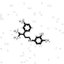 Cc1ccc(NCCC(c2cccc(N)c2)C(C)C)cc1Cl